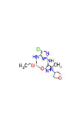 CCOC1CNc2nc(ncc2Cl)Nc2c(nn(C3CCOCC3)c2C)OC1